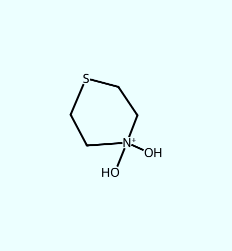 O[N+]1(O)CCSCC1